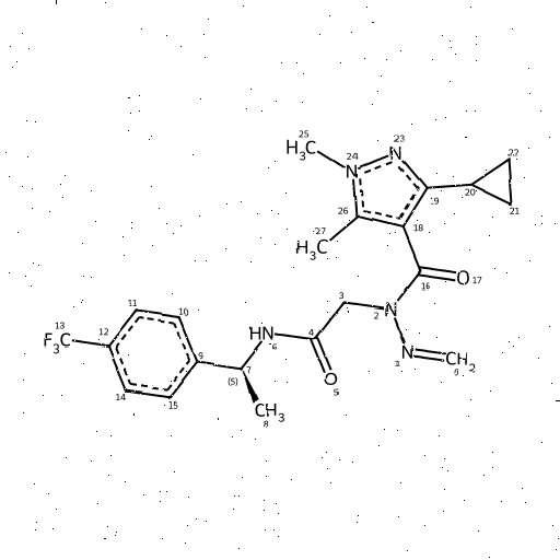 C=NN(CC(=O)N[C@@H](C)c1ccc(C(F)(F)F)cc1)C(=O)c1c(C2CC2)nn(C)c1C